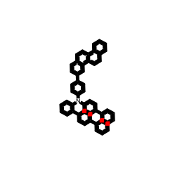 c1ccc(-c2ccc(-c3ccccc3N(c3ccc(-c4ccccc4)cc3)c3ccc(-c4ccc5ccc6c7ccccc7ccc6c5c4)cc3)cc2)cc1